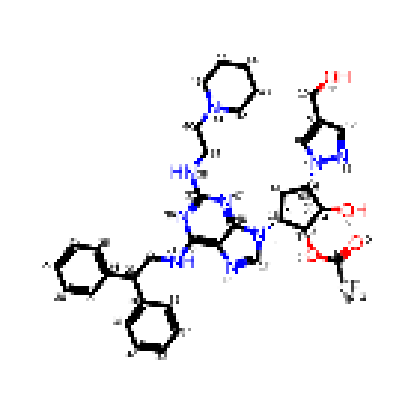 O=C(O[C@@H]1[C@H](O)[C@@H](n2cc(CO)cn2)C[C@H]1n1cnc2c(NCC(c3ccccc3)c3ccccc3)nc(NCCN3CCCCC3)nc21)C(F)(F)F